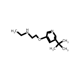 CCNCCOc1cncc(C(C)(C)C)c1